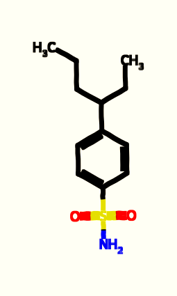 CCCC(CC)c1ccc(S(N)(=O)=O)cc1